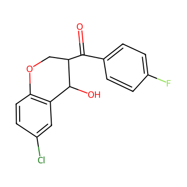 O=C(c1ccc(F)cc1)C1COc2ccc(Cl)cc2C1O